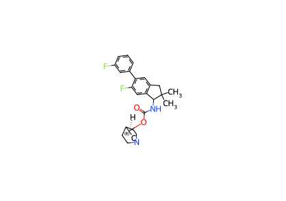 CC1(C)Cc2cc(-c3cccc(F)c3)c(F)cc2C1NC(=O)O[C@H]1CN2CCC1CC2